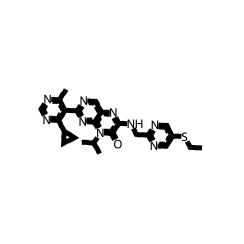 CCSc1cnc(CNc2nc3cnc(-c4c(C)ncnc4C4CC4)nc3n(C(C)C)c2=O)nc1